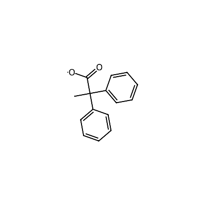 CC(C([O])=O)(c1ccccc1)c1ccccc1